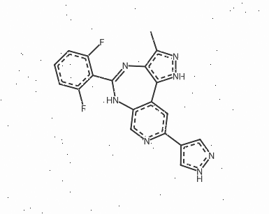 Cc1n[nH]c2c1N=C(c1c(F)cccc1F)Nc1cnc(-c3cn[nH]c3)cc1-2